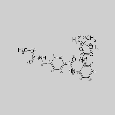 COC(=O)NCc1ccc(C(=O)Nc2ccccc2NC(=O)OC(C)(C)C)cc1